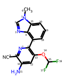 Cn1cnc2c(-c3nc(C#N)c(N)cc3OC(F)F)cccc21